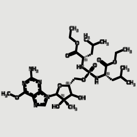 CCOC(=O)[C@H](CC(C)C)NP(=O)(N[C@@H](CC(C)C)C(=O)OCC)OC[C@H]1OC(n2cnc3c(OC)nc(N)nc32)[C@@](C)(O)C1O